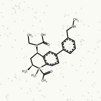 CCN(C(=O)O)[C@@H]1C[C@H](C)[N+](C)(C(C)=O)c2ccc(-c3cccc(CNC)c3)cc21